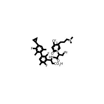 Cc1cc(-c2c(C)cc(C3CC3)c(F)c2C)c(F)c(C(CC(=O)O)NC(=O)C(CC(C)C)n2cc(CCCN(C)C)c(C(F)(F)F)cc2=O)c1F